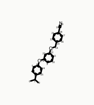 CC(C)c1ccc(Oc2cccc(OCc3ccc(C#N)cc3)c2)cc1